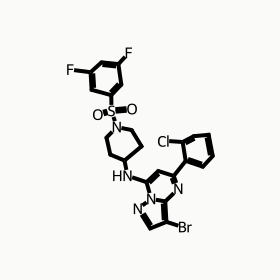 O=S(=O)(c1cc(F)cc(F)c1)N1CCC(Nc2cc(-c3ccccc3Cl)nc3c(Br)cnn23)CC1